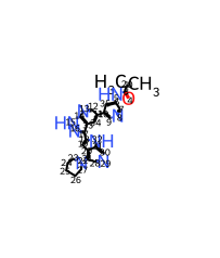 CC(C)C(=O)Nc1cncc(-c2cnc3[nH]nc(-c4cc5c(N6CCCCC6)cncc5[nH]4)c3c2)c1